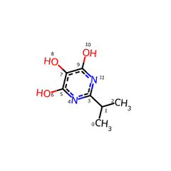 CC(C)c1nc(O)c(O)c(O)n1